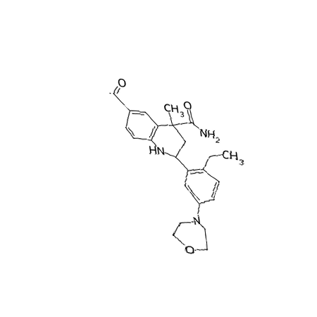 CCc1ccc(N2CCOCC2)cc1C1CC(C)(C(N)=O)c2cc([C]=O)ccc2N1